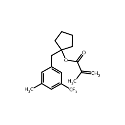 C=C(C)C(=O)OC1(Cc2cc(C)cc(C(F)(F)F)c2)CCCC1